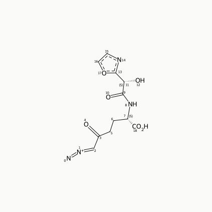 [N-]=[N+]=CC(=O)CC[C@H](NC(=O)[C@@H](O)c1ncco1)C(=O)O